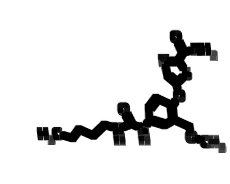 CCCCCNC(=O)Nc1ccc(Oc2cnc(C(N)=O)s2)c(COC)c1